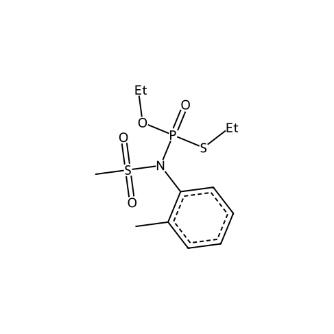 CCOP(=O)(SCC)N(c1ccccc1C)S(C)(=O)=O